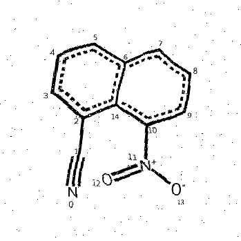 N#Cc1cccc2cccc([N+](=O)[O-])c12